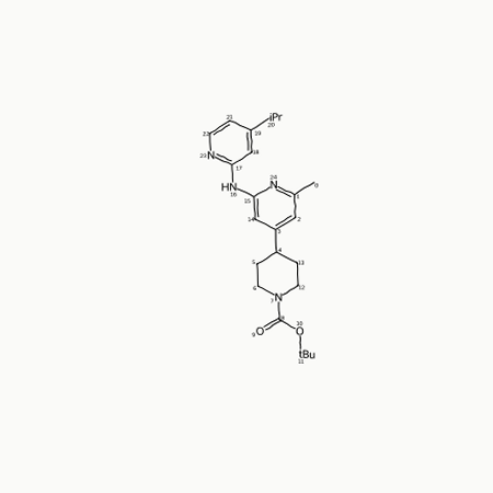 Cc1cc(C2CCN(C(=O)OC(C)(C)C)CC2)cc(Nc2cc(C(C)C)ccn2)n1